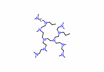 CCCN(CCN(C)C)CCN(C)CCN(CCN(C)CCN(C)C)CCN(CCN(C)CCN(C)C)CCN(CCC)CCN(C)C